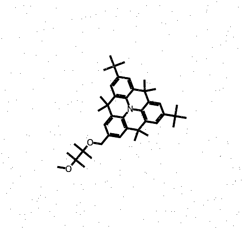 COC(C)(C)C(C)(C)OCc1cc2c3c(c1)C(C)(C)c1cc(C(C)(C)C)cc4c1N3c1c(cc(C(C)(C)C)cc1C4(C)C)C2(C)C